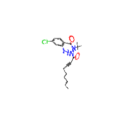 CCCCCCC#CC(=O)NN(C(=O)c1ccc(Cl)cc1)C(C)(C)C